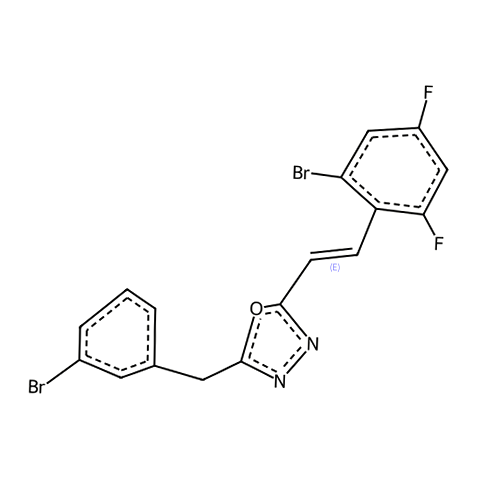 Fc1cc(F)c(/C=C/c2nnc(Cc3cccc(Br)c3)o2)c(Br)c1